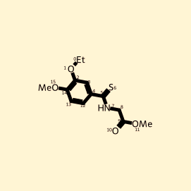 CCOc1cc(C(=S)NCC(=O)OC)ccc1OC